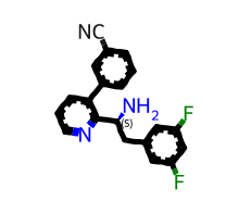 N#Cc1cccc(-c2cccnc2[C@@H](N)Cc2cc(F)cc(F)c2)c1